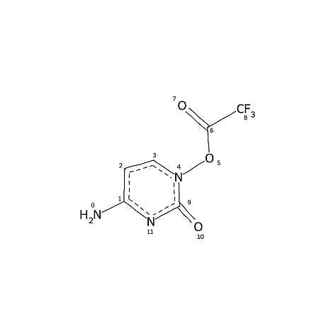 Nc1ccn(OC(=O)C(F)(F)F)c(=O)n1